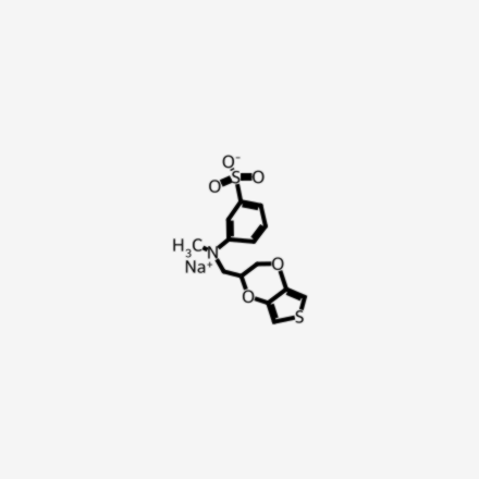 CN(CC1COc2cscc2O1)c1cccc(S(=O)(=O)[O-])c1.[Na+]